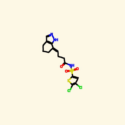 O=C(CCC=C1CCCc2cn[nH]c21)NS(=O)(=O)c1cc(Cl)c(Cl)s1